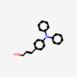 OCC=Cc1ccc(N(c2ccccc2)c2ccccc2)cc1